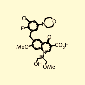 COC[C@@H](CO)n1cc(C(=O)O)c(=O)c2cc(Cc3cc(N4CCOCC4)cc(Cl)c3F)c(OC)cc21